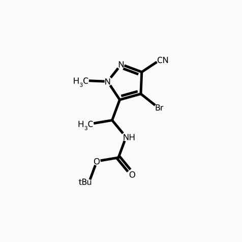 CC(NC(=O)OC(C)(C)C)c1c(Br)c(C#N)nn1C